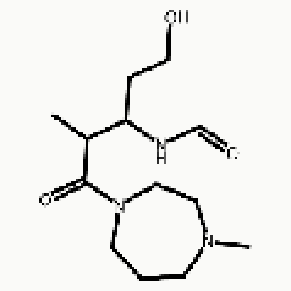 CC(C(=O)N1CCCN(C)CC1)C(CCO)NC=O